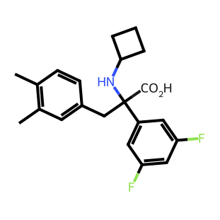 Cc1ccc(CC(NC2CCC2)(C(=O)O)c2cc(F)cc(F)c2)cc1C